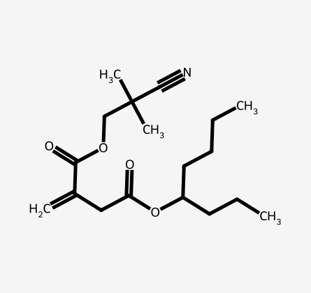 C=C(CC(=O)OC(CCC)CCCC)C(=O)OCC(C)(C)C#N